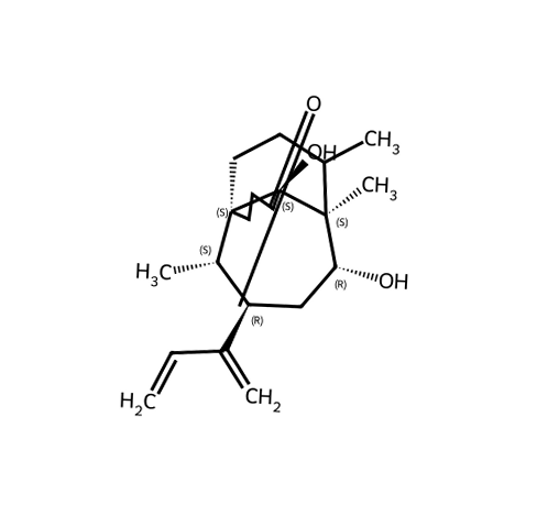 C=CC(=C)[C@@H]1C[C@@H](O)[C@]2(C)C(C)CC[C@]3(CCC(=O)[C@]32O)[C@H]1C